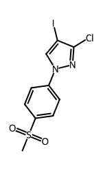 CS(=O)(=O)c1ccc(-n2cc(I)c(Cl)n2)cc1